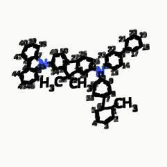 CC1C=CC=CC1c1ccc(N(c2ccc(-c3ccccc3)cc2)c2ccc3c(c2)C(C)(C)c2cc(-n4c5ccccc5c5ccccc54)ccc2-3)cc1